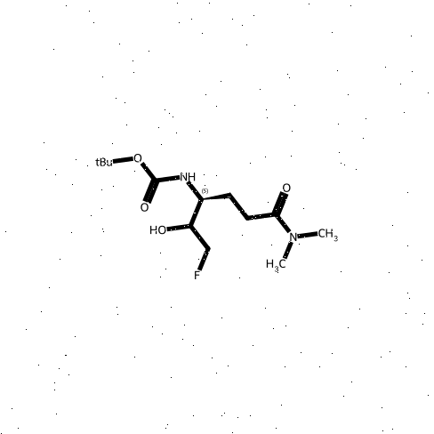 CN(C)C(=O)CC[C@H](NC(=O)OC(C)(C)C)C(O)CF